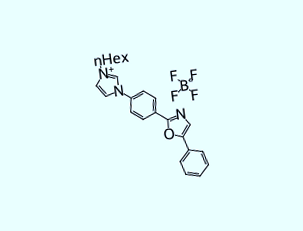 CCCCCC[n+]1ccn(-c2ccc(-c3ncc(-c4ccccc4)o3)cc2)c1.F[B-](F)(F)F